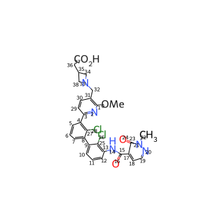 COc1nc(-c2cccc(-c3cccc(NC(=O)c4ccnn(C)c4=O)c3Cl)c2Cl)ccc1CN1CC(CC(=O)O)C1